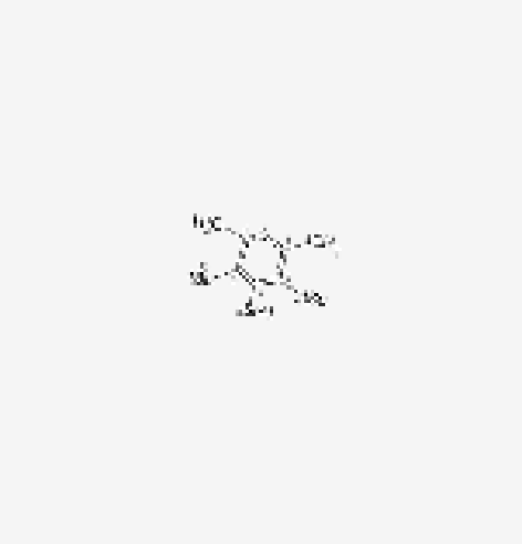 Cc1cc(C)c(C(C)(C)C)c([SeH])c1C(C)(C)C